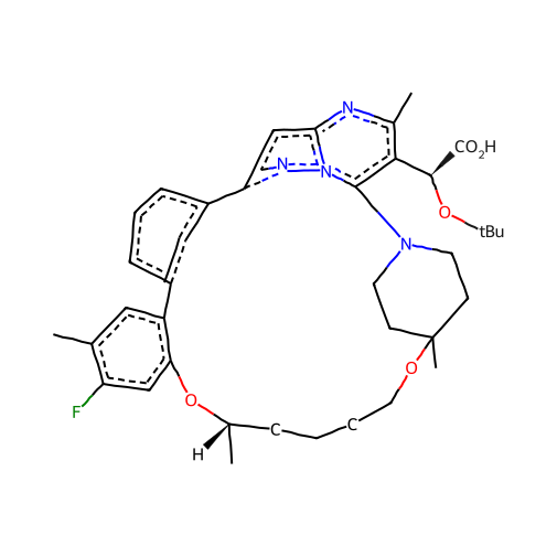 Cc1cc2c(cc1F)O[C@@H](C)CCCCOC1(C)CCN(CC1)c1c([C@H](OC(C)(C)C)C(=O)O)c(C)nc3cc(nn13)-c1cccc-2c1